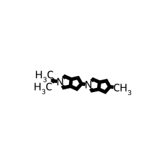 CC1CC2CN(C3CC4CN(C(C)C)CC4C3)CC2C1